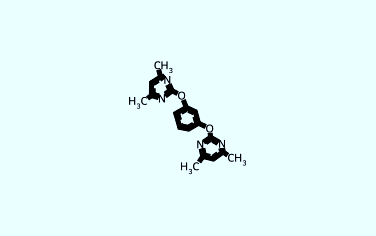 Cc1cc(C)nc(Oc2cccc(Oc3nc(C)cc(C)n3)c2)n1